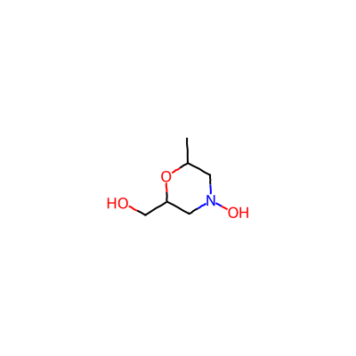 CC1CN(O)CC(CO)O1